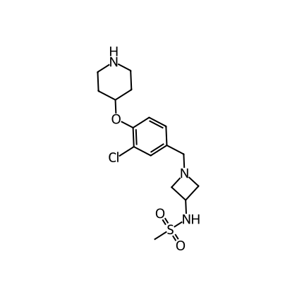 CS(=O)(=O)NC1CN(Cc2ccc(OC3CCNCC3)c(Cl)c2)C1